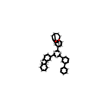 c1ccc(-c2cccc(-c3nc(-c4ccc5c(c4)C4CC6CC5C[C@@H](C6)C4)nc(-c4ccc5oc6ccccc6c5c4)n3)c2)cc1